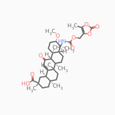 CO[C@H]1CC[C@@]2(C)[C@@H](CC[C@]3(C)[C@@H]2C(=O)C=C2[C@@H]4C[C@@](C)(C(=O)O)CC[C@]4(C)CC[C@]23C)[C@]1(C)NC(=O)OCc1oc(=O)oc1C